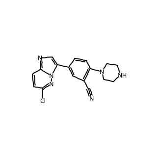 N#Cc1cc(-c2cnc3ccc(Cl)nn23)ccc1N1CCNCC1